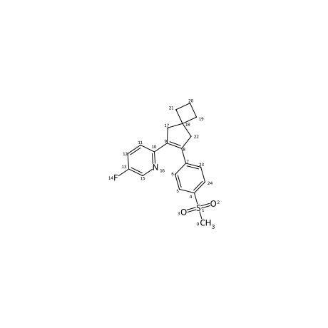 CS(=O)(=O)c1ccc(C2=C(c3ccc(F)cn3)CC3(CCC3)C2)cc1